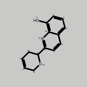 Oc1cccc2ccc(C3CC=CCO3)nc12